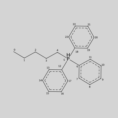 CCCCC[PH](c1ccccc1)(c1ccccc1)c1ccccc1